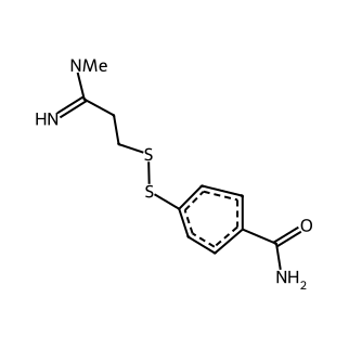 CNC(=N)CCSSc1ccc(C(N)=O)cc1